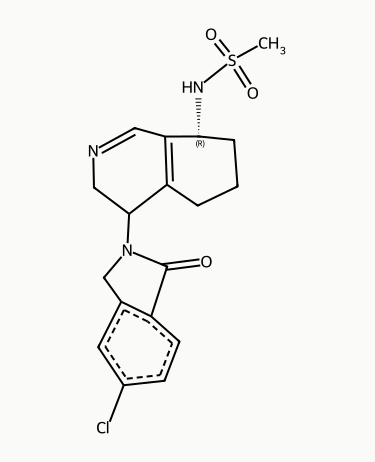 CS(=O)(=O)N[C@@H]1CCCC2=C1C=NCC2N1Cc2cc(Cl)ccc2C1=O